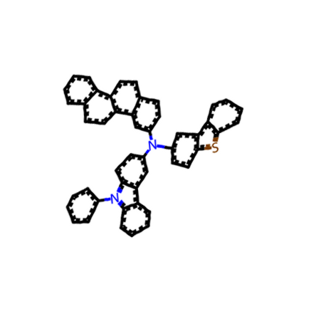 c1ccc(-n2c3ccccc3c3cc(N(c4ccc5ccc6c7ccccc7ccc6c5c4)c4ccc5sc6ccccc6c5c4)ccc32)cc1